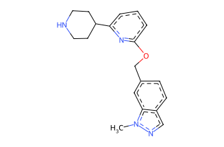 Cn1ncc2ccc(COc3cccc(C4CCNCC4)n3)cc21